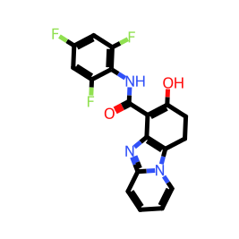 O=C(Nc1c(F)cc(F)cc1F)C1=C(O)CCc2c1nc1ccccn21